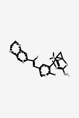 CN(C)C(=O)[C@]12CC1[C@@](C)(c1cc(/C=C(\F)c3cc4nccnc4cn3)ccc1F)N=C(N)S2